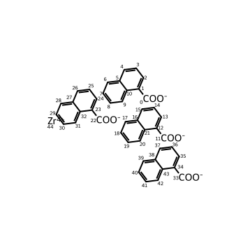 O=C([O-])c1cccc2ccccc12.O=C([O-])c1cccc2ccccc12.O=C([O-])c1cccc2ccccc12.O=C([O-])c1cccc2ccccc12.[Zr+4]